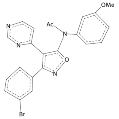 COc1cccc(N(C(C)=O)c2onc(-c3cccc(Br)c3)c2-c2ccncn2)c1